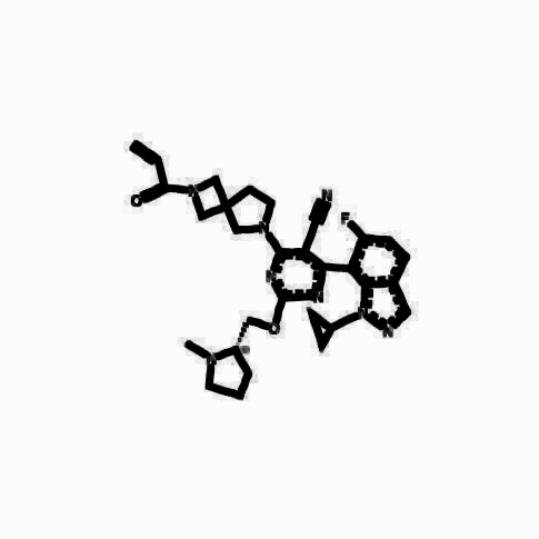 C=CC(=O)N1CC2(CCN(c3nc(OC[C@@H]4CCCN4C)nc(-c4c(F)ccc5cnn(C6CC6)c45)c3C#N)C2)C1